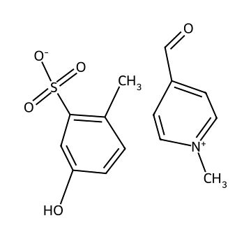 C[n+]1ccc(C=O)cc1.Cc1ccc(O)cc1S(=O)(=O)[O-]